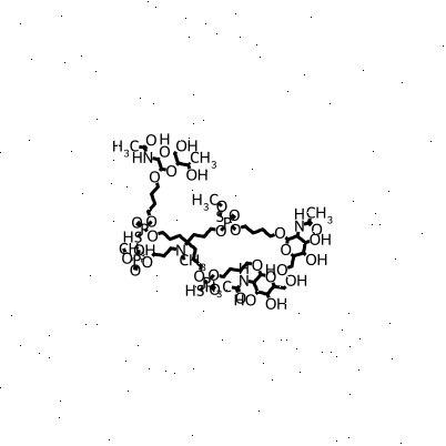 COSP(=O)(OCCCCOC1OC(CO)C(O)C(O)C1NC(C)=O)OCCCC(CCCOP(=O)(S)OCCCCOC1OC(CO)C(O)C(O)C1NC(C)=O)(CCCOP(=O)(S)OCCCCOC(OC(CO)[C@@H](C)O)[C@H](O)NC(C)=O)N(C)CCCOP(=O)(O)OC